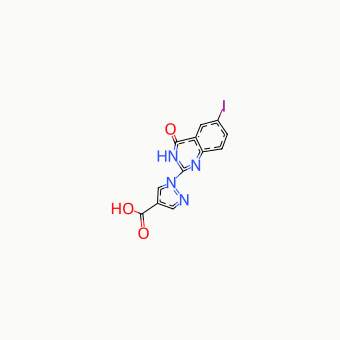 O=C(O)c1cnn(-c2nc3ccc(I)cc3c(=O)[nH]2)c1